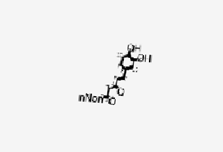 CCCCCCCCCC(=O)CC(=O)C=Cc1ccc(O)c(O)c1